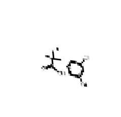 CC(C)(S)C(=O)O.Oc1cccc(O)c1